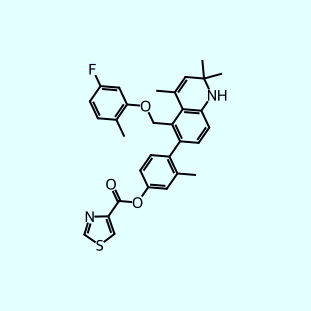 CC1=CC(C)(C)Nc2ccc(-c3ccc(OC(=O)c4cscn4)cc3C)c(COc3cc(F)ccc3C)c21